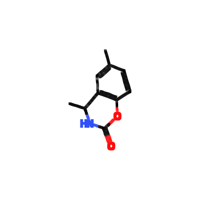 Cc1ccc2c(c1)C(C)NC(=O)O2